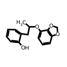 CC(Cc1ccccc1O)Oc1cccc2c1OCO2